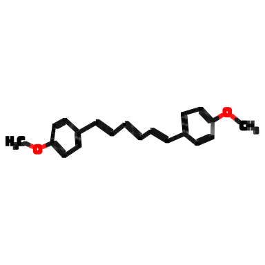 COc1ccc(C=CC=CC=Cc2ccc(OC)cc2)cc1